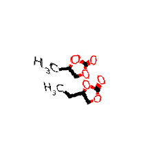 CC1COC(=O)O1.CCC1COC(=O)O1